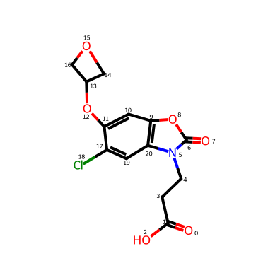 O=C(O)CCn1c(=O)oc2cc(OC3COC3)c(Cl)cc21